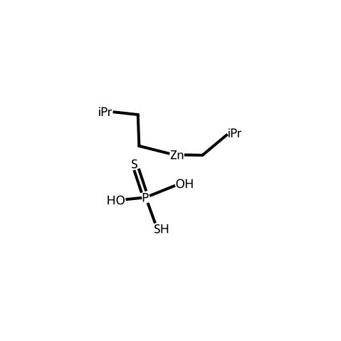 CC(C)C[CH2][Zn][CH2]C(C)C.OP(O)(=S)S